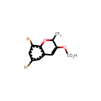 O=C(O)OC1=Cc2cc(Br)cc(Br)c2OC1C(F)(F)F